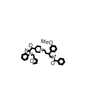 COc1cccc(C(CCN2CCC(C(=O)c3nc4ccccc4n3Cc3ccco3)CC2)CN(C)C(=O)c2ccccc2)c1